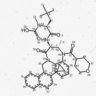 C[C@H]1[C@H](NC(=O)[C@H](CC(C)(C)C)N(C)C(=O)O)C(=O)N(Cc2c(C3CC3)cnc3ccccc23)c2ccccc2N1C(=O)C1CCOCC1